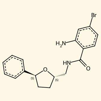 Nc1cc(Br)ccc1C(=O)NC[C@@H]1CC[C@@H](c2ccccc2)O1